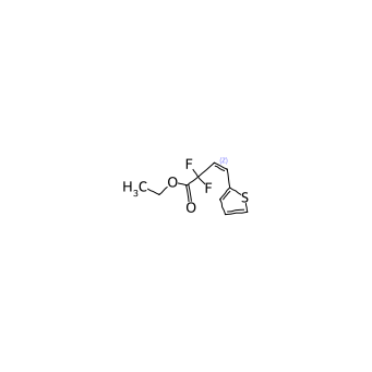 CCOC(=O)C(F)(F)/C=C\c1cccs1